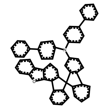 c1ccc(-c2ccc(N(c3ccc(-c4ccccc4)cc3)c3ccc4c(c3)C3(c5ccccc5-4)c4ccccc4-c4c3ccc3c4oc4ccccc43)cc2)cc1